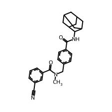 CN(Cc1ccc(C(=O)NC2C3CC4CC(C3)CC2C4)cc1)C(=O)c1cccc(C#N)c1